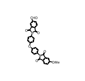 COc1ccc2c(c1)C(=O)N(c1ccc(Oc3ccc(N4C(=O)c5ccc(C=O)cc5C4=O)cc3)cc1)C2=O